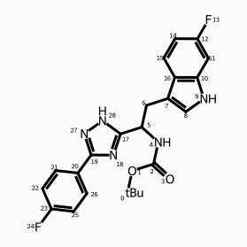 CC(C)(C)OC(=O)NC(Cc1c[nH]c2cc(F)ccc12)c1nc(-c2ccc(F)cc2)n[nH]1